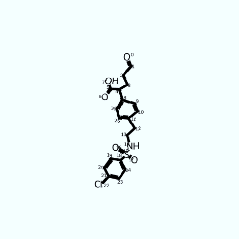 O=CCCC(C(=O)O)c1ccc(CCNS(=O)(=O)c2ccc(Cl)cc2)cc1